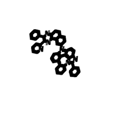 c1ccc(-c2nc3ccc4ccc(-n5c6cccc7c8ccccc8n8c(-c9ccccc9)nc9ccc5c(c76)c98)cc4c3nc2-c2ccccn2)cc1